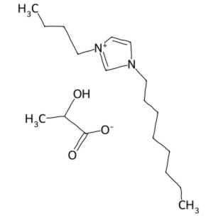 CC(O)C(=O)[O-].CCCCCCCCn1cc[n+](CCCC)c1